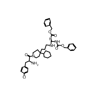 NC(Cc1ccc(Cl)cc1)C(=O)N1CCC(CCCNC(=NC(=O)OCc2ccccc2)NC(=O)OCc2ccccc2)(C2CCCCC2)CC1